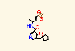 CC(C=CS(C)(=O)=O)NC(=O)c1cncc2c1OC1(CCCC1)C2